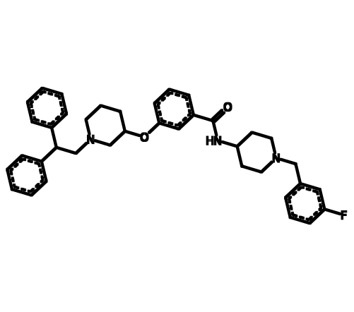 O=C(NC1CCN(Cc2cccc(F)c2)CC1)c1cccc(OC2CCCN(CC(c3ccccc3)c3ccccc3)C2)c1